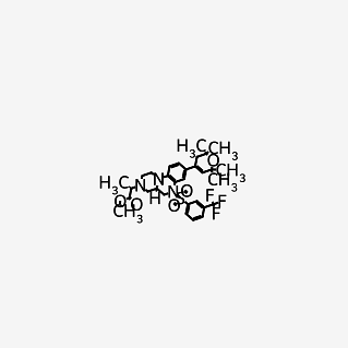 COC(=O)[C@H](C)N1CCN2c3ccc(C4=CC(C)(C)OC(C)(C)C4)cc3N(S(=O)(=O)c3cccc(C(F)(F)F)c3)C[C@@H]2C1